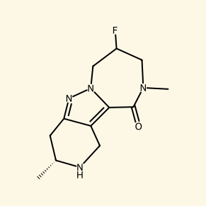 C[C@@H]1Cc2nn3c(c2CN1)C(=O)N(C)CC(F)C3